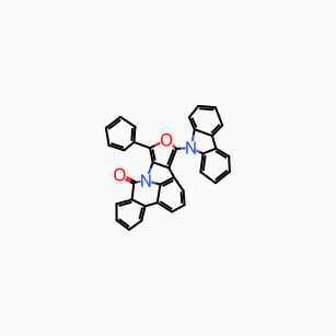 O=c1c2ccccc2c2cccc3c4c(-n5c6ccccc6c6ccccc65)oc(-c5ccccc5)c4n1c23